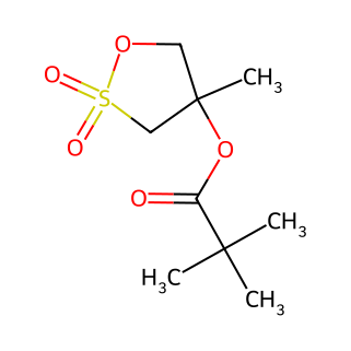 CC1(OC(=O)C(C)(C)C)COS(=O)(=O)C1